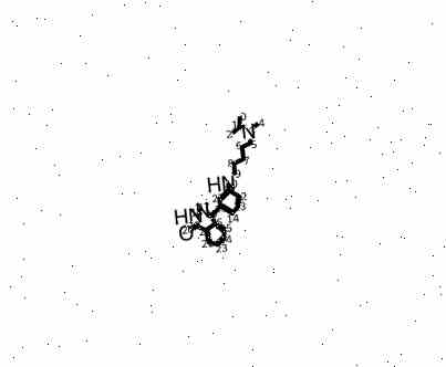 CC(C)N(C)CCCCCNc1cccc(-c2n[nH]c(=O)c3ccccc23)c1